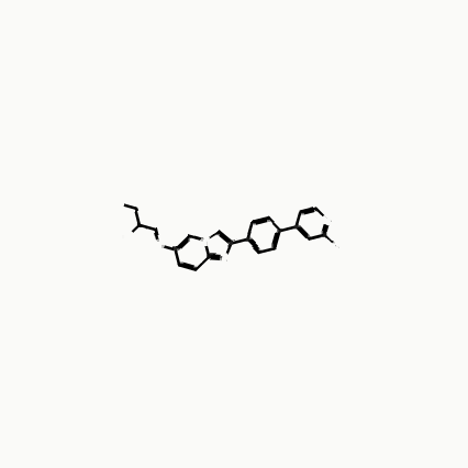 Nc1cc(-c2ccc(-c3cn4cc(OCC(O)CF)ccc4n3)cc2)ccn1